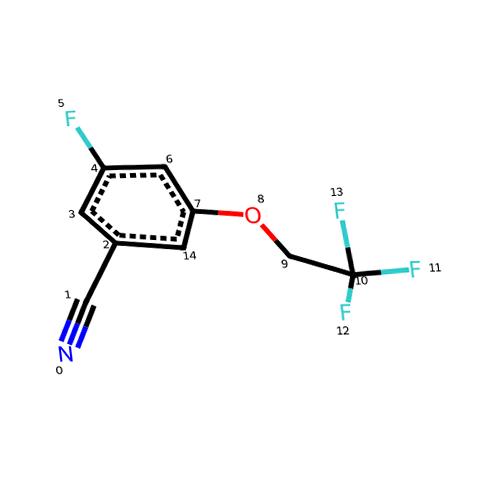 N#Cc1cc(F)cc(OCC(F)(F)F)c1